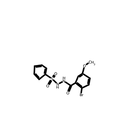 COc1ccc(Br)c(C(=O)NNS(=O)(=O)c2ccccc2)c1